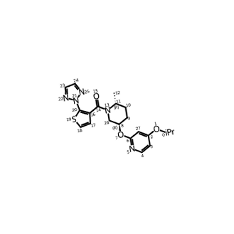 CC(C)Oc1ccnc(O[C@@H]2CC[C@@H](C)N(C(=O)c3ccsc3-n3nccn3)C2)c1